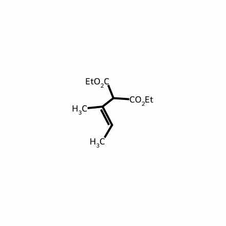 CC=C(C)C(C(=O)OCC)C(=O)OCC